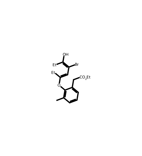 CCOC(=O)Cc1cccc(C)c1OC(=C/C(Br)=C(/O)CC)CC